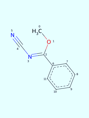 CO/C(=N\C#N)c1ccccc1